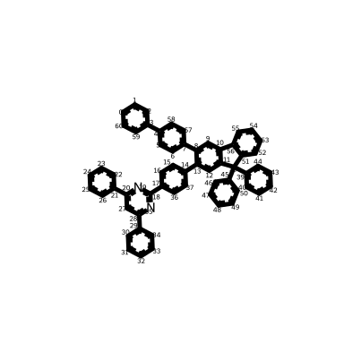 c1ccc(-c2ccc(-c3cc4c(cc3-c3ccc(-c5nc(-c6ccccc6)cc(-c6ccccc6)n5)cc3)C(c3ccccc3)(c3ccccc3)c3ccccc3-4)cc2)cc1